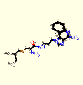 CC(=O)OCC(CSC[C@H](N)C(=O)NCCCn1cnc2c(N)nc3ccccc3c21)OC(C)=O